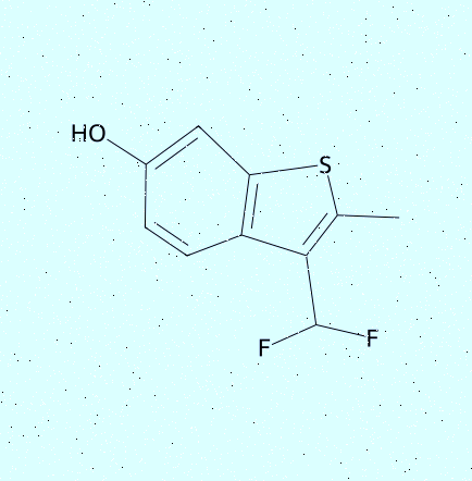 Cc1sc2cc(O)ccc2c1C(F)F